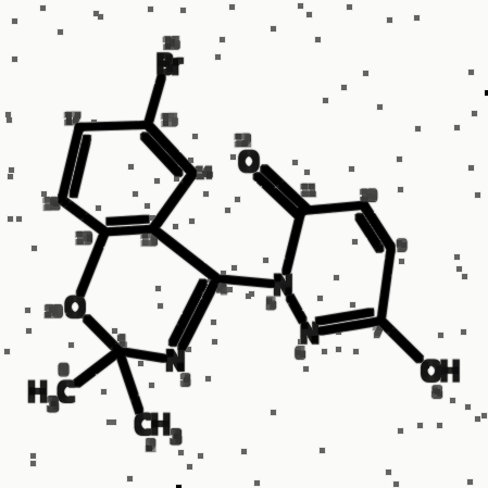 CC1(C)N=C(n2nc(O)ccc2=O)c2cc(Br)ccc2O1